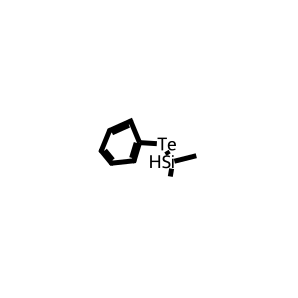 C[SiH](C)[Te]c1ccccc1